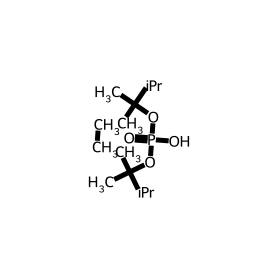 CC.CC(C)C(C)(C)OP(=O)(O)OC(C)(C)C(C)C